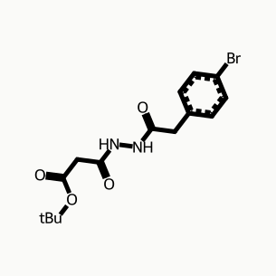 CC(C)(C)OC(=O)CC(=O)NNC(=O)Cc1ccc(Br)cc1